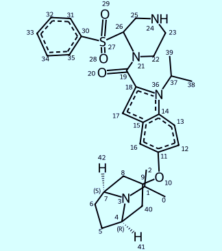 CC(C)N1[C@@H]2CC[C@H]1CC(Oc1ccc3c(c1)cc(C(=O)N1CCNCC1S(=O)(=O)c1ccccc1)n3C(C)C)C2